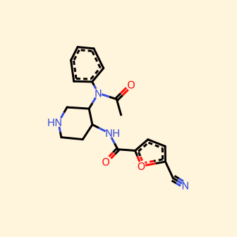 CC(=O)N(c1ccccc1)C1CNCCC1NC(=O)c1ccc(C#N)o1